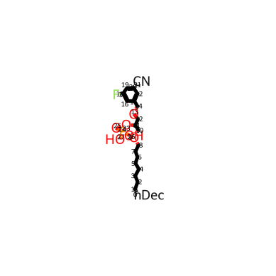 CCCCCCCCCCCCCCCCCCOCC(COCc1cc(F)cc(C#N)c1)OP(=O)(O)O